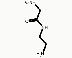 CC(=O)NCC(=O)NCCN